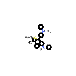 CC[N+](=C1C=CC(=C(c2ccc(N(C)c3ccccc3)cc2)c2sc(NC)c(C#N)c2-c2ccccc2)C=C1)c1ccccc1